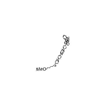 COCCCCCCSC1CCN(c2ccc(N3CCN(c4ccc(C(=O)On5nnc6ccccc65)cc4)CC3)cc2)CC1